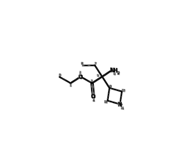 CCOC(=O)C(N)(CC)C1C[N]C1